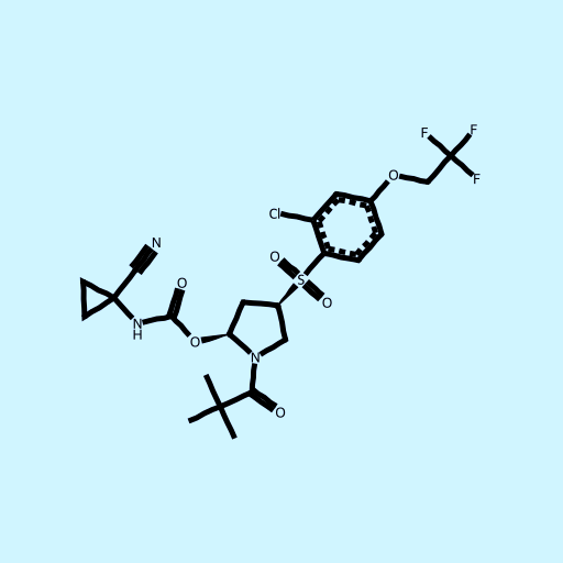 CC(C)(C)C(=O)N1C[C@H](S(=O)(=O)c2ccc(OCC(F)(F)F)cc2Cl)C[C@@H]1OC(=O)NC1(C#N)CC1